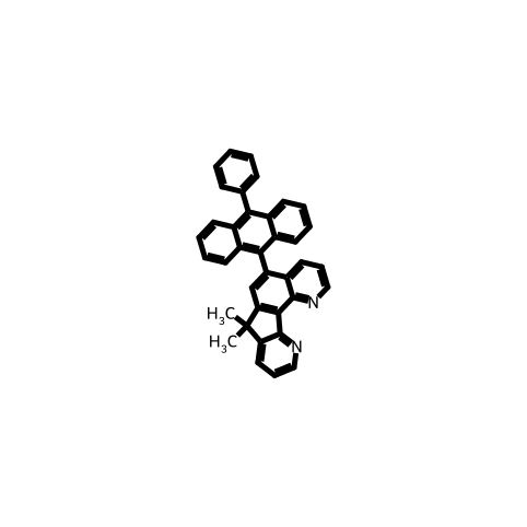 CC1(C)c2cccnc2-c2c1cc(-c1c3ccccc3c(-c3ccccc3)c3ccccc13)c1cccnc21